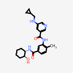 Cc1ccc(C(=O)N[C@H]2CCCC[C@@H]2O)cc1NC(=O)c1cncc(NCC2CC2)c1